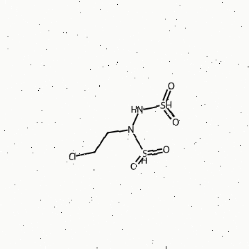 O=[SH](=O)NN(CCCl)[SH](=O)=O